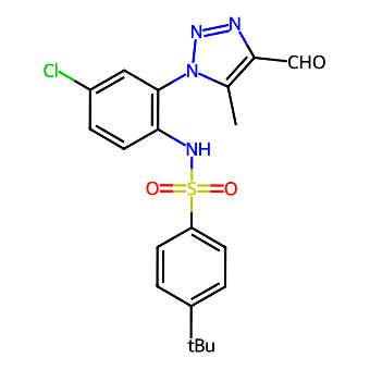 Cc1c(C=O)nnn1-c1cc(Cl)ccc1NS(=O)(=O)c1ccc(C(C)(C)C)cc1